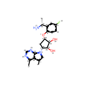 Cc1cn([C@@H]2C[C@H](Oc3ccc(F)cc3[C@@H](C)N)[C@@H](O)[C@H]2O)c2ncnc(C)c12